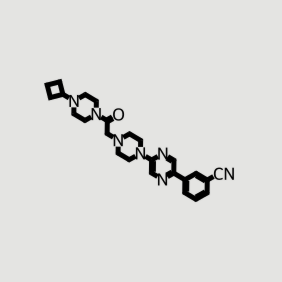 N#Cc1cccc(-c2cnc(N3CCN(CC(=O)N4CCN(C5CCC5)CC4)CC3)cn2)c1